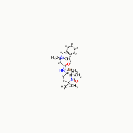 CC1(C)CCC(Br)(NC(=O)C[N+](C)(C)Cc2ccccc2)C(C)(C)N1[O]